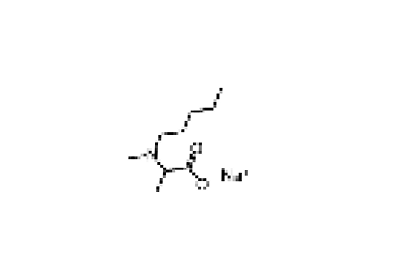 CCCCCN(C)C(C)C(=O)[O-].[Na+]